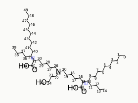 CCCCCCCCCC/C(CCCC)=C(\CCCCCN(CCCO)CCCCC/C(C(=O)O)=C(/CCCC)CCCCCCCCCC)C(=O)O